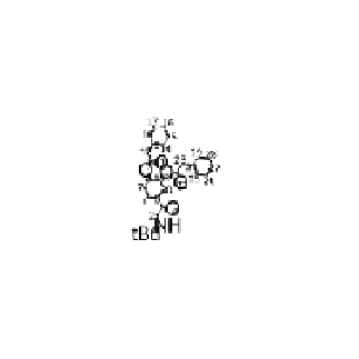 CC(C)(C)NCC(=O)c1ccc(OC(=O)Cc2ccccc2)c(OC(=O)Cc2ccccc2)c1